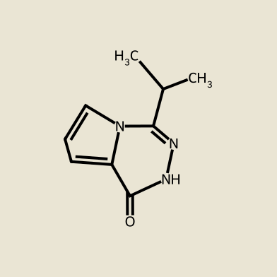 CC(C)c1n[nH]c(=O)c2cccn12